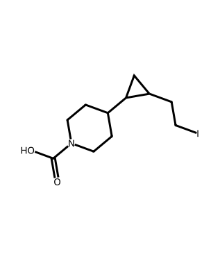 O=C(O)N1CCC(C2CC2CCI)CC1